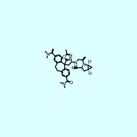 C=C(c1ccc2c(c1)CCc1cc(C(=O)N(C)C)ccc1C2(C[C@H](C)NCC(=C)N1C(C#N)C[C@@H]2C[C@@H]21)c1nnc(C)o1)N(C)C